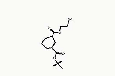 CC(C)(C)OC(=O)N1CCCC(C(=O)OCCS)C1